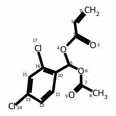 C=CC(=O)OC(OC(C)=O)c1ccc(Cl)cc1Cl